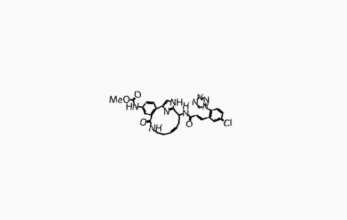 COC(=O)Nc1ccc2c(c1)C(=O)NCCC=CCC(NC(=O)C=Cc1cc(Cl)ccc1-n1cnnn1)c1nc-2c[nH]1